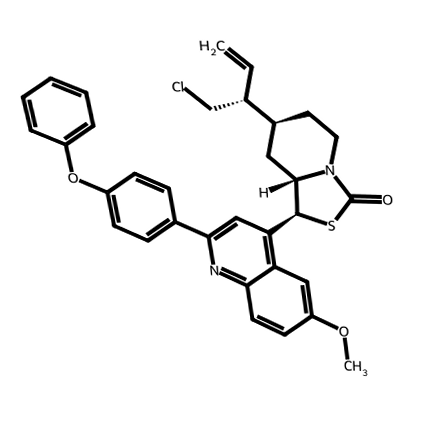 C=C[C@@H](CCl)[C@H]1CCN2C(=O)S[C@@H](c3cc(-c4ccc(Oc5ccccc5)cc4)nc4ccc(OC)cc34)[C@@H]2C1